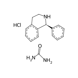 Cl.NC(N)=O.c1ccc([C@@H]2NCCc3ccccc32)cc1